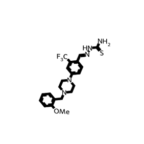 COc1ccccc1CN1CCN(c2ccc(C=NNC(N)=S)c(C(F)(F)F)c2)CC1